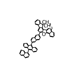 CC1(C)c2ccccc2-c2cc(-c3ccc4cc(-c5c6ccccc6c(-c6cccc7ccccc67)c6ccccc56)ccc4c3)c3oc4c5ccccc5ccc4c3c21